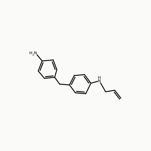 C=CCNc1ccc(Cc2ccc(N)cc2)cc1